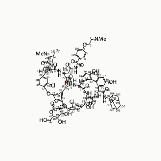 CNCCOc1ccc(S(=O)(=O)NC(=O)C[C@@H]2NC(=O)[C@H](NC(=O)[C@@H](CC(C)C)NC)[C@H](O)c3ccc(c(Cl)c3)Oc3cc4cc(c3O[C@@H]3O[C@H](CO)[C@@H](O)[C@H](O)[C@H]3O)Oc3ccc(cc3Cl)[C@@H](O)[C@@H]3NC(=O)[C@H](NC(=O)[C@@H]4NC2=O)c2ccc(O)c(c2)-c2c(O)cc(O)cc2[C@@H](C(=O)NC2C4CC5CC(C4)CC2C5)NC3=O)cc1